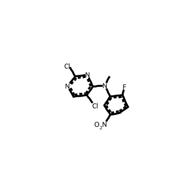 CN(c1cc([N+](=O)[O-])ccc1F)c1nc(Cl)ncc1Cl